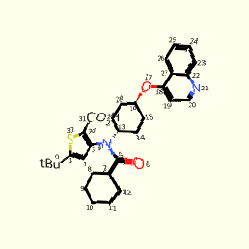 CC(C)(C)c1cc(N(C(=O)C2CCCCC2)[C@H]2CC[C@H](Oc3ccnc4ccccc34)CC2)c(C(=O)O)s1